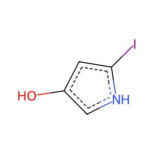 Oc1c[nH]c(I)c1